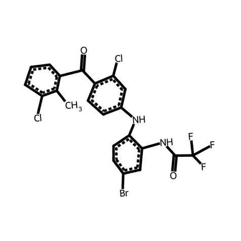 Cc1c(Cl)cccc1C(=O)c1ccc(Nc2ccc(Br)cc2NC(=O)C(F)(F)F)cc1Cl